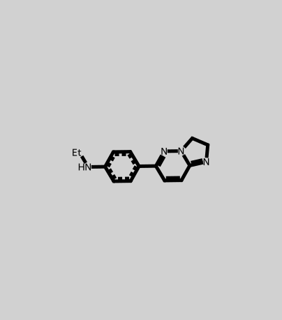 CCNc1ccc(C2=NN3CCN=C3C=C2)cc1